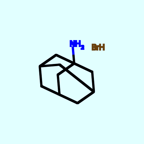 Br.NC12CC3CC(CC(C3)C1)C2